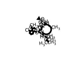 COc1cnc(O[C@@H]2CC3C(=O)N[C@]4(C(=O)NS(=O)(=O)C5CC5)C[C@H]4/C=C\[C@@H](C)CCC[C@@H](C)[C@H](NC(=O)OC(C)(C)C)C(=O)N3C2)c2cccc(Cl)c12